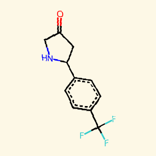 O=C1CNC(c2ccc(C(F)(F)F)cc2)C1